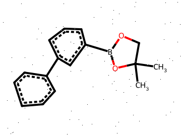 CC1(C)COB(c2cccc(-c3ccccc3)c2)O1